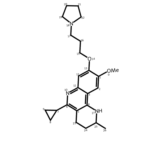 COc1cc2c3c(c(C4CC4)nc2cc1OCCCN1CCCC1)CCC(C)N3